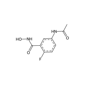 CC(=O)Nc1ccc(F)c(C(=O)NO)c1